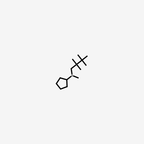 CB(CC(C)(C)C(C)(C)C)C1CCCC1